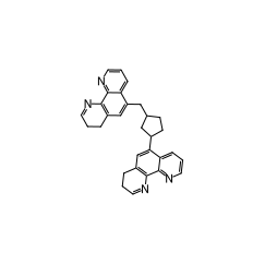 C1=Nc2c(cc(CC3CCC(c4cc5c(c6ncccc46)N=CCC5)C3)c3cccnc23)CC1